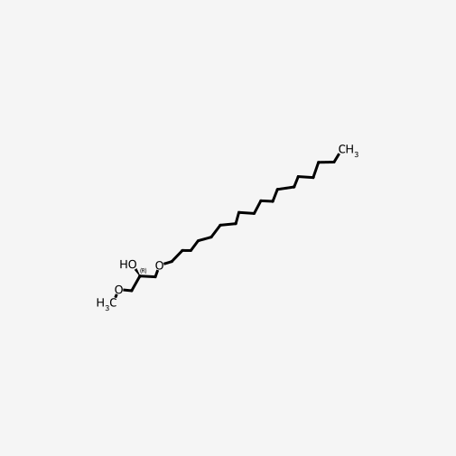 CCCCCCCCCCCCCCCCCCOC[C@H](O)COC